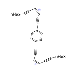 CCCCCCC#C/C=C\C#Cc1ccc(C#C/C=C\C#CCCCCCC)cc1